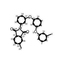 Cc1cccc(Oc2cccc(Oc3cccc(N4C(=O)c5ccc(C)cc5C4=O)c3)c2)c1